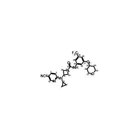 N#Cc1ccc(N(C2CC2)C2CN(C(=O)Nc3cc(OC4CCOCC4)cc(C(F)(F)F)c3)C2)nc1